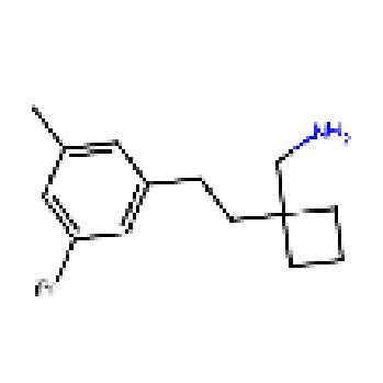 Cc1cc(CCC2(CN)CCC2)cc(C(C)C)c1